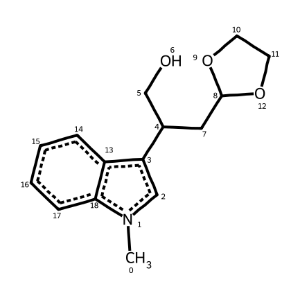 Cn1cc(C(CO)CC2OCCO2)c2ccccc21